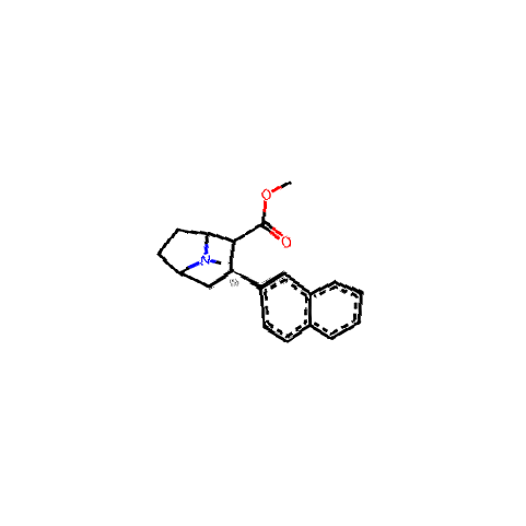 COC(=O)C1C2CCC(C[C@@H]1c1ccc3ccccc3c1)N2C